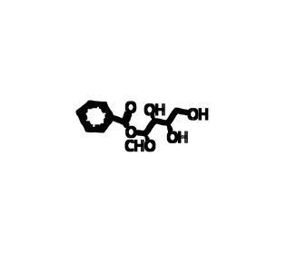 O=C[C@H](OC(=O)c1ccccc1)[C@H](O)[C@H](O)CO